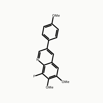 COc1ccc(-c2cnc3c(F)c(OC)c(OC)cc3c2)cc1